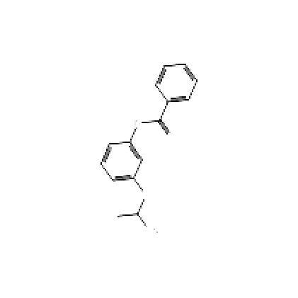 CC(C#N)Nc1cccc(NC(=O)c2ccccc2)c1